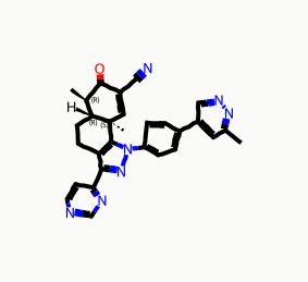 Cc1cc(-c2ccc(-n3nc(-c4ccncn4)c4c3[C@]3(C)C=C(C#N)C(=O)[C@H](C)[C@H]3CC4)cc2)cnn1